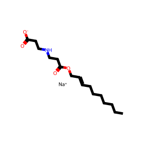 CCCCCCCC=CCOC(=O)CCNCCC(=O)[O-].[Na+]